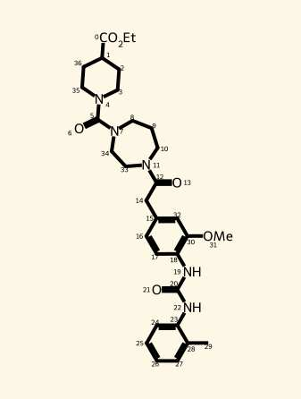 CCOC(=O)C1CCN(C(=O)N2CCCN(C(=O)Cc3ccc(NC(=O)Nc4ccccc4C)c(OC)c3)CC2)CC1